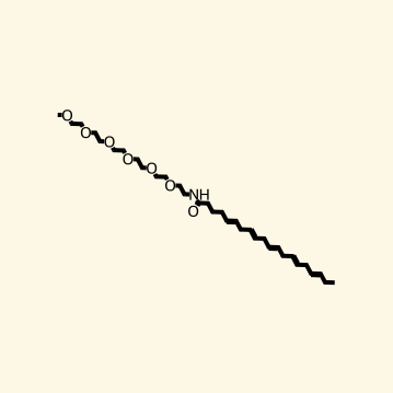 CCC=CCC=CCC=CCC=CCC=CCCCC(=O)NCCOCCOCCOCCOCCOCCOC